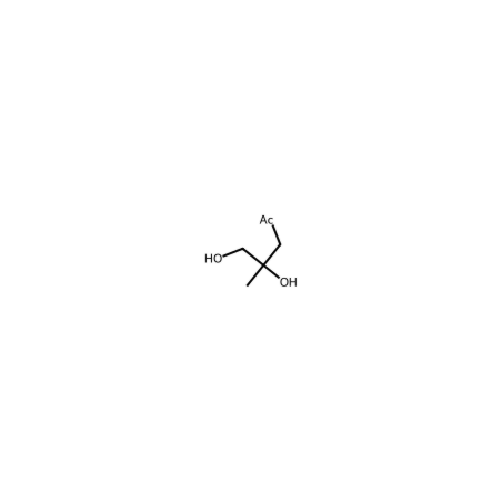 CC(=O)CC(C)(O)CO